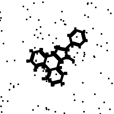 Cn1c(-c2ccccc2)nc2c3cccnc3c3ncccc3c21